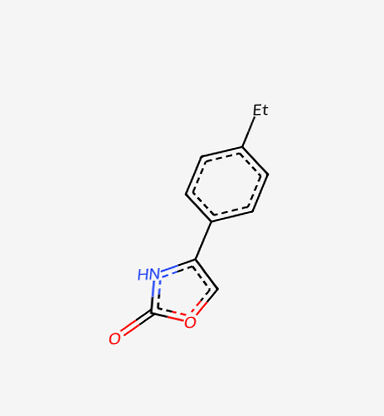 CCc1ccc(-c2coc(=O)[nH]2)cc1